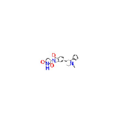 CCN1CCC(c2ccc3c(c2)CN(C2CCC(=O)NC2=O)C3=O)CC1c1ccccc1